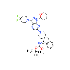 CC(C)(C)OC(=O)N[C@@H]1c2ccccc2CC12CCN(c1cnc3c(N4CCC(F)(F)CC4)nn(C4CCCCO4)c3n1)CC2